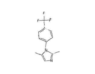 Cc1cnc(C)n1-c1ccc(C(F)(F)F)cc1